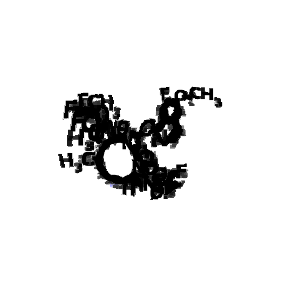 CCOc1cc2ccnc(O[C@@H]3C[C@H]4C(=O)N[C@]5(C(=O)NS(=O)(=O)C6(CF)CC6)C[C@H]5/C=C\CC[C@H](C)C[C@@H](C)[C@H](NC(=O)OC(C)(C)C(F)(F)F)C(=O)N4C3)c2cc1F